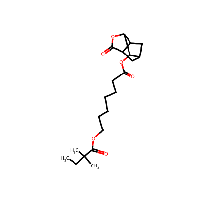 CCC(C)(C)C(=O)OCCCCCCC(=O)OC1C2CC3C(=O)OC1C3C2